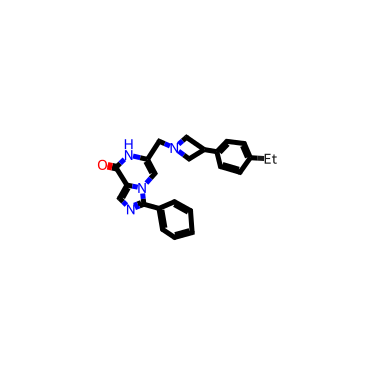 CCc1ccc(C2CN(Cc3cn4c(-c5ccccc5)ncc4c(=O)[nH]3)C2)cc1